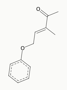 CC(=O)/C(C)=C/COc1ccccc1